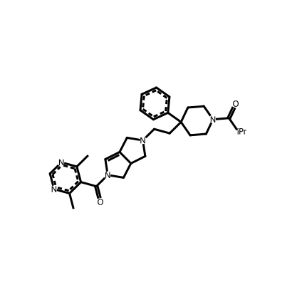 Cc1ncnc(C)c1C(=O)N1C=C2CN(CCC3(c4ccccc4)CCN(C(=O)C(C)C)CC3)CC2C1